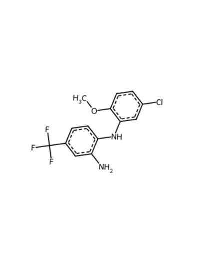 COc1ccc(Cl)cc1Nc1ccc(C(F)(F)F)cc1N